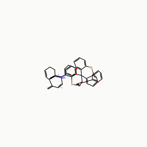 C=C(/C=C\C(=C/C)C1=CCCC2=C1Sc1cccc(-c3ccccc3)c1C21c2ccccc2Sc2ccccc21)C1=C(Nc2ccccc2)CCC=C1